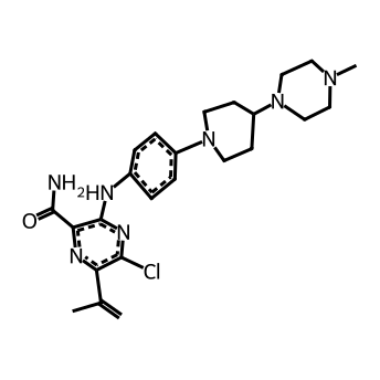 C=C(C)c1nc(C(N)=O)c(Nc2ccc(N3CCC(N4CCN(C)CC4)CC3)cc2)nc1Cl